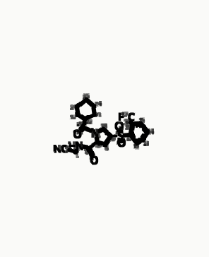 N#CCNC(=O)[C@@H]1C[C@@H](S(=O)(=O)c2ccccc2C(F)(F)F)CN1C(=O)C1CCCCC1